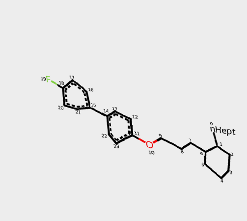 CCCCCCCC1CCCCC1CCCOc1ccc(-c2ccc(F)cc2)cc1